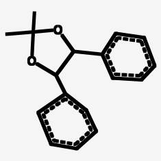 CC1(C)OC(c2ccccc2)C(c2ccccc2)O1